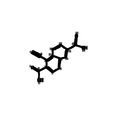 C#Cc1c(C(=O)O)ccc2cc(C(=O)O)ccc12